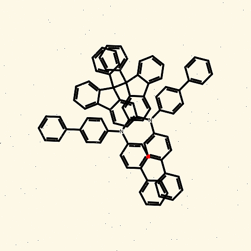 c1ccc(-c2ccc(N(c3ccc(-c4ccccc4)cc3)c3ccc4c(c3)C(c3ccccc3)(C3(c5ccccc5)c5ccccc5-c5ccc(N(c6ccc(-c7ccccc7)cc6)c6ccc(-c7ccccc7)cc6)cc53)c3ccccc3-4)cc2)cc1